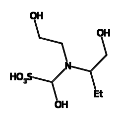 CCC(CO)N(CCO)C(O)S(=O)(=O)O